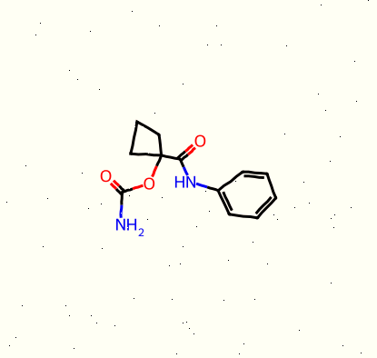 NC(=O)OC1(C(=O)Nc2ccccc2)CCC1